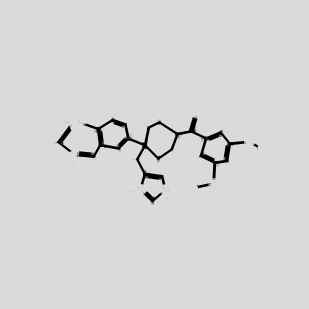 COc1cc(OC)cc(C(=O)C2CCC(Cc3c[nH]cn3)(c3ccc4c(c3)C=NC=CN4)CC2)c1